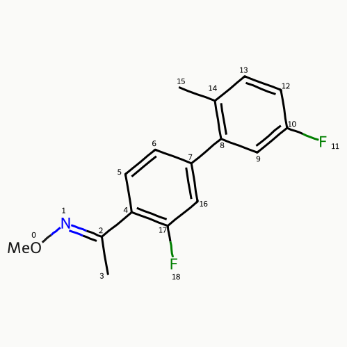 CO/N=C(\C)c1ccc(-c2cc(F)ccc2C)cc1F